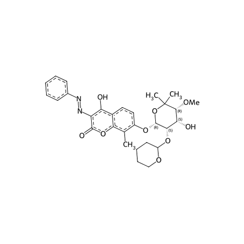 CO[C@@H]1[C@H](O)[C@H](OC2CCCCO2)[C@H](Oc2ccc3c(O)c(N=Nc4ccccc4)c(=O)oc3c2C)OC1(C)C